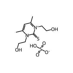 Cc1cc(C)[n+](CCO)c(=S)n1CCO.O=S(=O)([O-])O